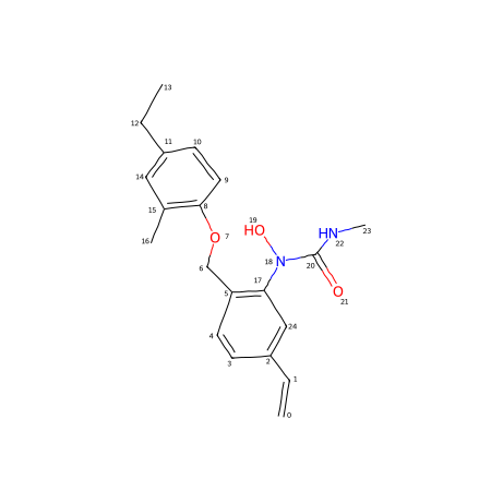 C=Cc1ccc(COc2ccc(CC)cc2C)c(N(O)C(=O)NC)c1